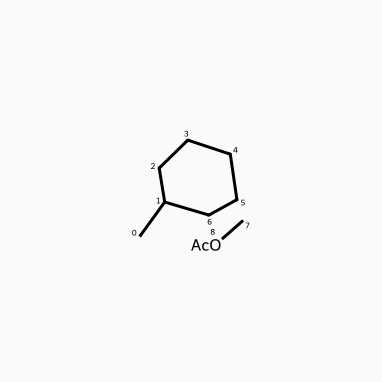 CC1CCCCC1.COC(C)=O